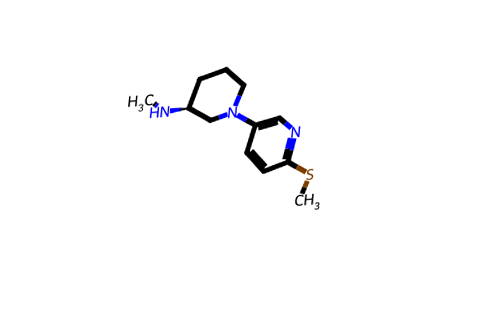 CN[C@H]1CCCN(c2ccc(SC)nc2)C1